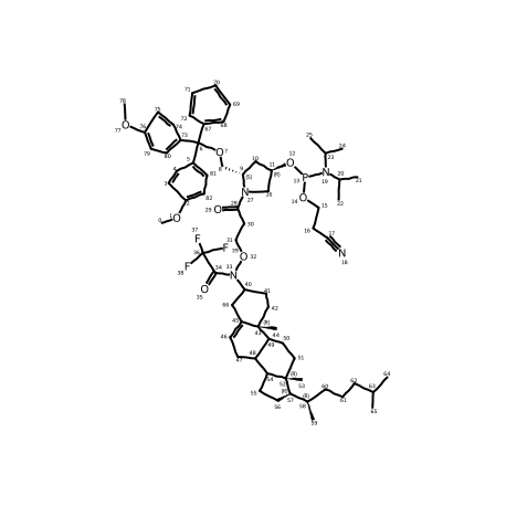 COc1ccc(C(OC[C@@H]2C[C@@H](OP(OCCC#N)N(C(C)C)C(C)C)CN2C(=O)CCON(C(=O)C(F)(F)F)C2CC[C@@]3(C)C(=CCC4C3CC[C@@]3(C)C4CC[C@@H]3[C@H](C)CCCC(C)C)C2)(c2ccccc2)c2ccc(OC)cc2)cc1